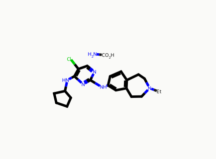 CCN1CCc2ccc(Nc3ncc(Cl)c(NC4CCCC4)n3)cc2CC1.NC(=O)O